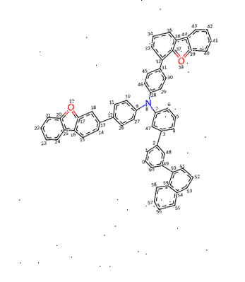 c1cc(-c2cccc(N(c3ccc(-c4ccc5c(c4)oc4ccccc45)cc3)c3ccc(-c4cccc5c4oc4ccccc45)cc3)c2)cc(-c2cccc3ccccc23)c1